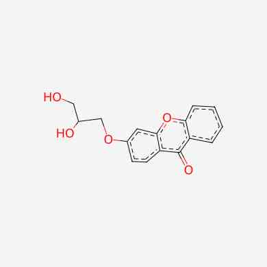 O=c1c2ccccc2oc2cc(OCC(O)CO)ccc12